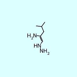 CC(C)C/C(N)=C/NN